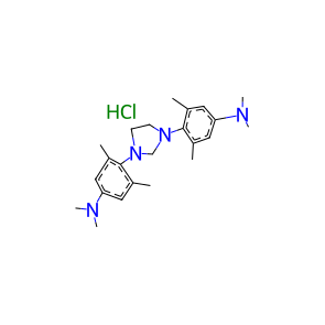 Cc1cc(N(C)C)cc(C)c1N1CCN(c2c(C)cc(N(C)C)cc2C)C1.Cl